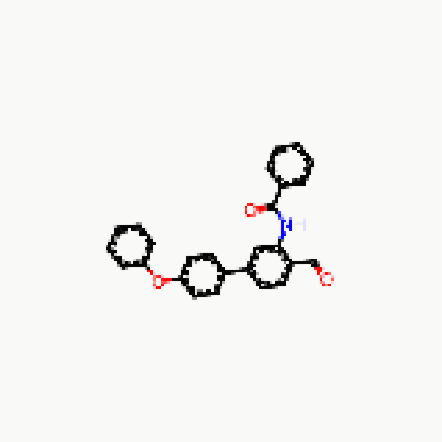 O=Cc1ccc(-c2ccc(Oc3ccccc3)cc2)cc1NC(=O)c1ccccc1